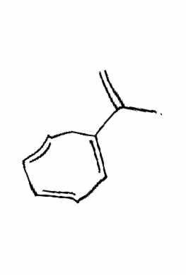 [CH2]C(=C)c1ccccc1